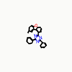 Cc1ccc2oc3cccc(-c4nc(C5=CCCC=C5)nc(-c5ccccc5)n4)c3c2c1